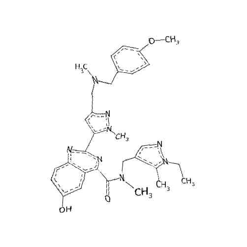 CCn1ncc(CN(C)C(=O)c2nc(-c3cc(CN(C)Cc4ccc(OC)cc4)nn3C)nc3ccc(O)cc23)c1C